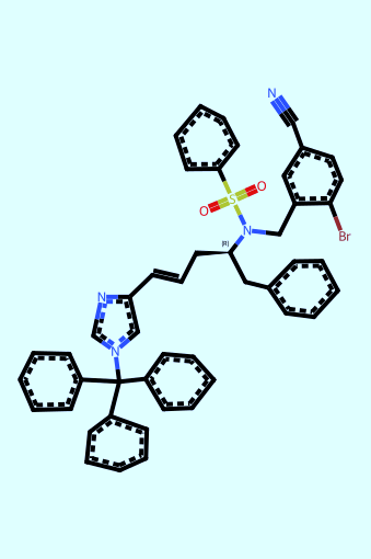 N#Cc1ccc(Br)c(CN([C@H](CC=Cc2cn(C(c3ccccc3)(c3ccccc3)c3ccccc3)cn2)Cc2ccccc2)S(=O)(=O)c2ccccc2)c1